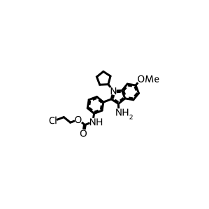 COc1ccc2c(N)c(-c3cccc(NC(=O)OCCCl)c3)n(C3CCCC3)c2c1